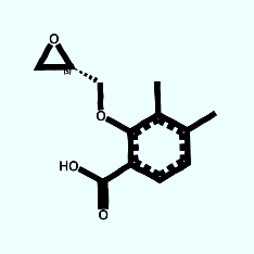 Cc1ccc(C(=O)O)c(OC[C@@H]2CO2)c1C